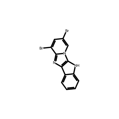 Brc1cc(Br)c2nc3c4ccccc4[nH]c3n2c1